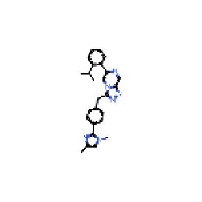 Cc1cn(C)c(-c2ccc(Cc3nnc4cnc(-c5ccccc5C(C)C)cn34)cc2)n1